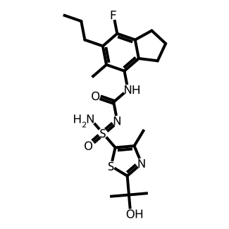 CCCc1c(C)c(NC(=O)N=S(N)(=O)c2sc(C(C)(C)O)nc2C)c2c(c1F)CCC2